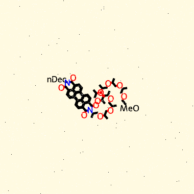 CCCCCCCCCCN1C(=O)c2ccc3c4ccc5c6c(ccc(c7ccc(c2c37)C1=O)c64)C(=O)N(C(C)COC(C)COC(C)COC(C)COC(C)COC(C)COC(C)COC(C)COC(C)COCCOC)C5=O